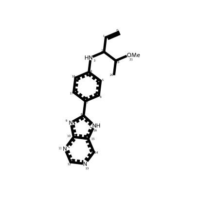 C=CC(Nc1ccc(-c2nc3ncncc3[nH]2)cc1)C(C)OC